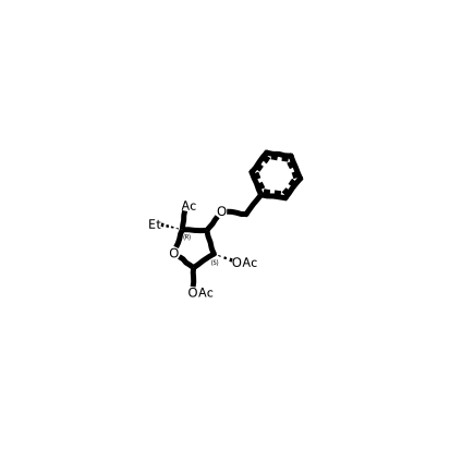 CC[C@@]1(C(C)=O)OC(OC(C)=O)[C@@H](OC(C)=O)C1OCc1ccccc1